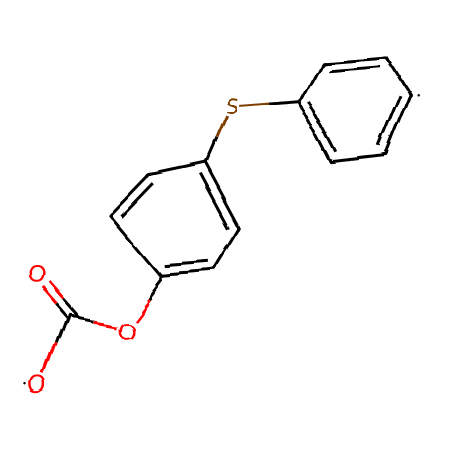 [O]C(=O)Oc1ccc(Sc2cc[c]cc2)cc1